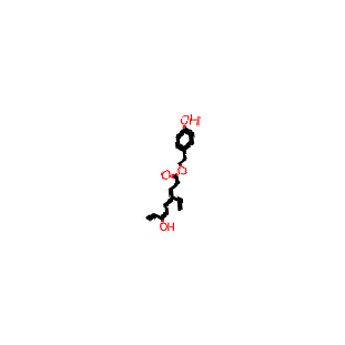 C=C/C(=C\C=C(\O)C=C)CCC(=O)OCCc1ccc(O)cc1